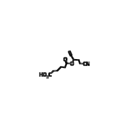 C#CC(CCC#N)OC(=O)CCCCC(=O)O